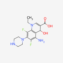 CCN1C=C(C(=O)O)C(O)c2c(N)c(F)c(N3CCNCC3)c(F)c21